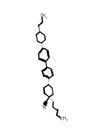 CCCCC[C@]1(C#N)CC[C@H](c2ccc(-c3ccc([C@H]4CC[C@H](CCC)CC4)cc3)cc2)CC1